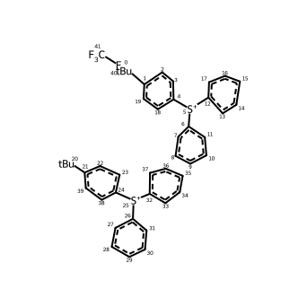 CC(C)(C)c1ccc([S+](c2ccccc2)c2ccccc2)cc1.CC(C)(C)c1ccc([S+](c2ccccc2)c2ccccc2)cc1.FC(F)(F)F